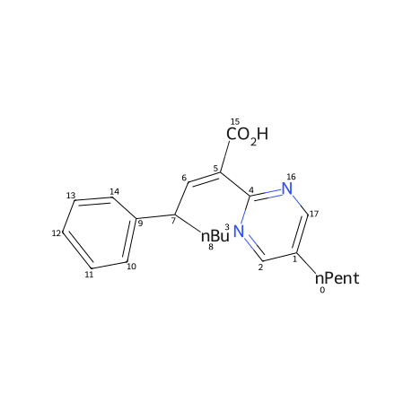 CCCCCc1cnc(/C(=C\C(CCCC)c2ccccc2)C(=O)O)nc1